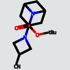 CC(C)(C)OC(=O)N1C2CC(N3CC(C#N)C3)CC1C2